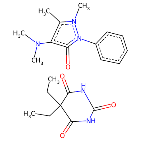 CCC1(CC)C(=O)NC(=O)NC1=O.Cc1c(N(C)C)c(=O)n(-c2ccccc2)n1C